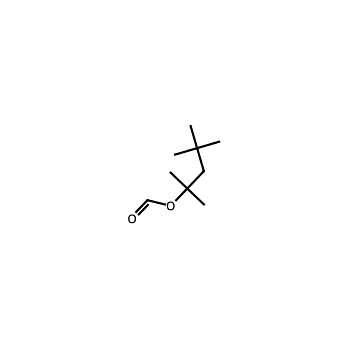 CC(C)(C)CC(C)(C)OC=O